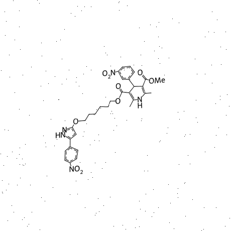 COC(=O)C1=C(C)NC(C)=C(C(=O)OCCCCCCOc2cc(-c3ccc([N+](=O)[O-])cc3)[nH]n2)C1c1cccc([N+](=O)[O-])c1